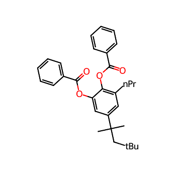 CCCc1cc(C(C)(C)CC(C)(C)C)cc(OC(=O)c2ccccc2)c1OC(=O)c1ccccc1